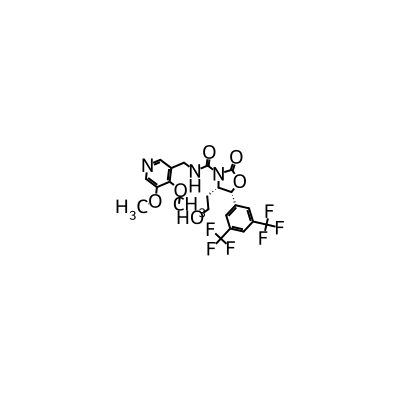 COc1cncc(CNC(=O)N2C(=O)O[C@H](c3cc(C(F)(F)F)cc(C(F)(F)F)c3)[C@@H]2CCO)c1OC